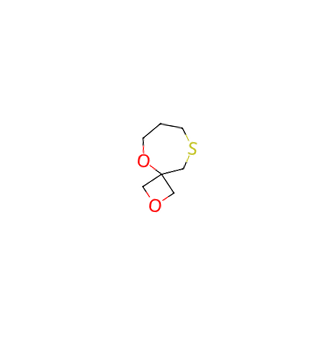 C1COC2(COC2)CSC1